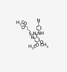 COC(=O)CCCSc1nc(Nc2ccc(C#N)cc2)c2cc(OC)c(OC)cc2n1